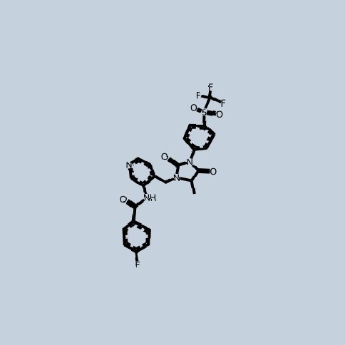 CC1C(=O)N(c2ccc(S(=O)(=O)C(F)(F)F)cc2)C(=O)N1Cc1ccncc1NC(=O)c1ccc(F)cc1